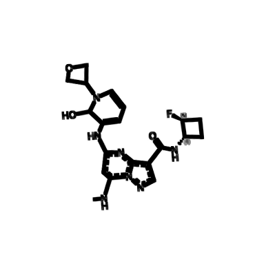 CNc1cc(NC2=CC=CN(C3COC3)C2O)nc2c(C(=O)N[C@H]3CC[C@@H]3F)cnn12